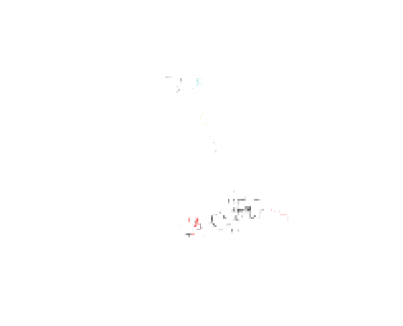 CC1(C)OB(c2ccc3c(c2)C[C@@H](CCCCCCCCCSCCCC(F)(F)C(F)(F)F)[C@@H]2[C@@H]3CC[C@]3(C)[C@@H](O)CC[C@@H]23)OC1(C)C